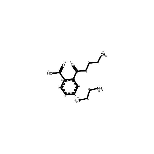 CCCCC(=O)c1ccccc1C(=O)O.NCCN